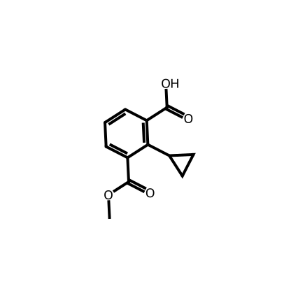 COC(=O)c1cccc(C(=O)O)c1C1CC1